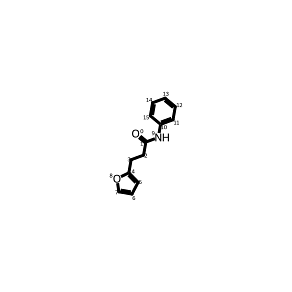 O=C(CCc1ccco1)Nc1ccccc1